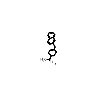 C=C(C)C1CC=C(Cc2[c]c3ccccc3cc2)CC1